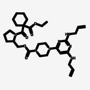 C=CCNc1cc(N2CCN(C(=O)OCC3CCCN3C(=O)C3(C(=O)OCC)CCCCC3)CC2)nc(NCC=C)n1